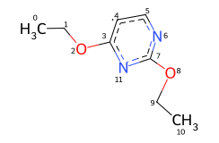 CCOc1[c]cnc(OCC)n1